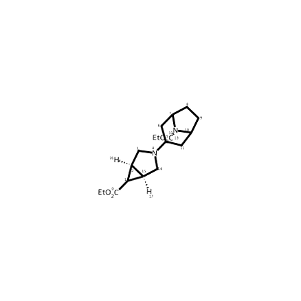 CCOC(=O)C1[C@H]2CN(C3CC4CCC(C3)N4C(=O)OCC)C[C@@H]12